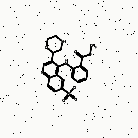 COC(=O)c1ccccc1Nc1c(C2CNCCO2)cnc2ccc(S(=O)(=O)Cl)cc12